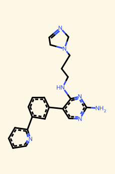 Nc1ncc(-c2cccc(-c3ccccn3)c2)c(NCCCN2CC=NC2)n1